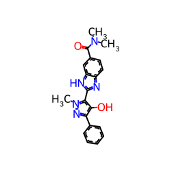 CN(C)C(=O)c1ccc2nc(-c3c(O)c(-c4ccccc4)nn3C)[nH]c2c1